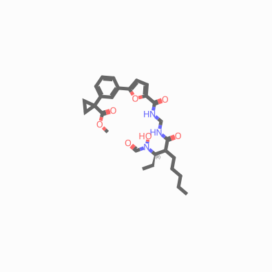 CCCCCC(C(=O)NCNC(=O)c1ccc(-c2cccc(C3(C(=O)OC)CC3)c2)o1)[C@@H](CC)N(O)C=O